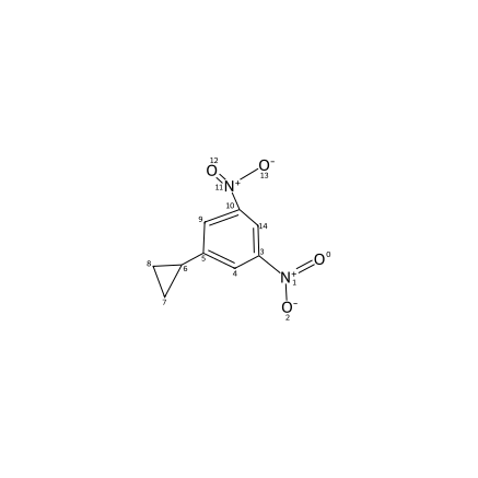 O=[N+]([O-])c1cc(C2CC2)cc([N+](=O)[O-])c1